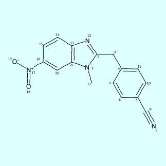 Cn1c(Cc2ccc(C#N)cc2)nc2ccc([N+](=O)[O-])cc21